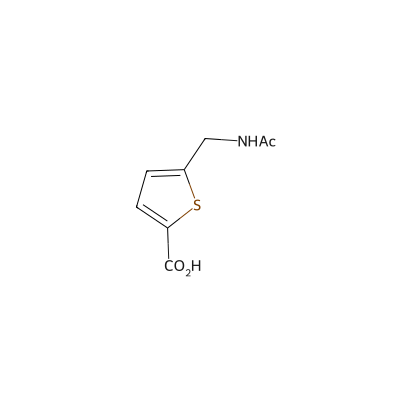 CC(=O)NCc1ccc(C(=O)O)s1